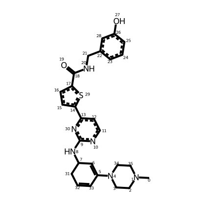 CN1CCN(C2=CC(Nc3nccc(-c4ccc(C(=O)NCc5cccc(O)c5)s4)n3)CC=C2)CC1